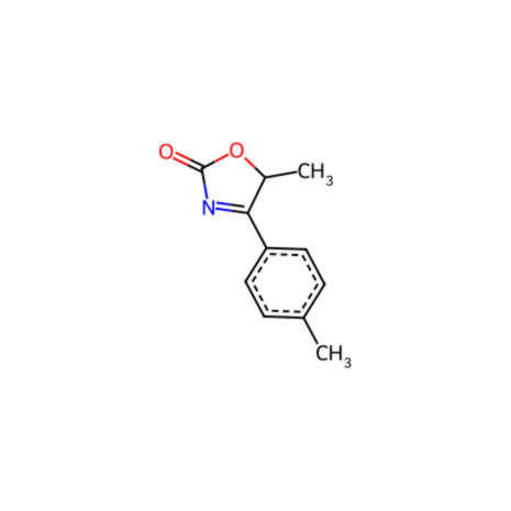 Cc1ccc(C2=NC(=O)OC2C)cc1